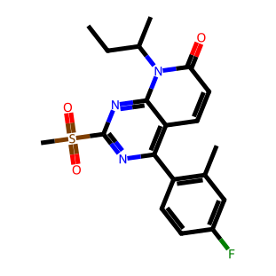 CCC(C)n1c(=O)ccc2c(-c3ccc(F)cc3C)nc(S(C)(=O)=O)nc21